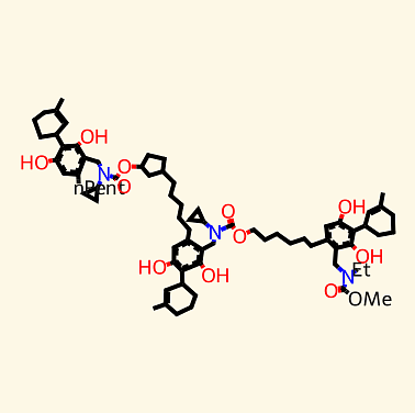 CCCCCc1cc(O)c(C2C=C(C)CCC2)c(O)c1CN(C(=O)OC1CCC(CCCCCc2cc(O)c(C3C=C(C)CCC3)c(O)c2CN(C(=O)OCCCCCCc2cc(O)c(C3C=C(C)CCC3)c(O)c2CN(CC)C(=O)OC)C2CC2)C1)C1CC1